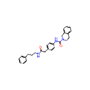 O=C(Cc1ccc(NC(=O)N2CCc3ccccc3C2)cc1)NCCCc1ccccc1